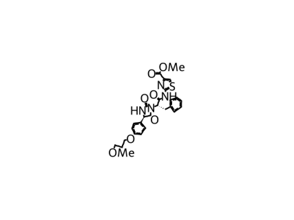 COCCCOc1ccc([C@H]2NC(=O)N([C@@H](Cc3ccccc3)C(=O)Nc3nc(C(=O)OC)cs3)C2=O)cc1